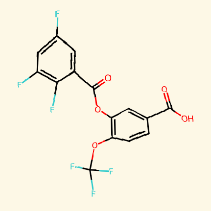 O=C(O)c1ccc(OC(F)(F)F)c(OC(=O)c2cc(F)cc(F)c2F)c1